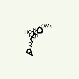 COc1ccc2nc(C(F)(F)CCOC[C@H]3CCC4CC43)c(O)nc2c1